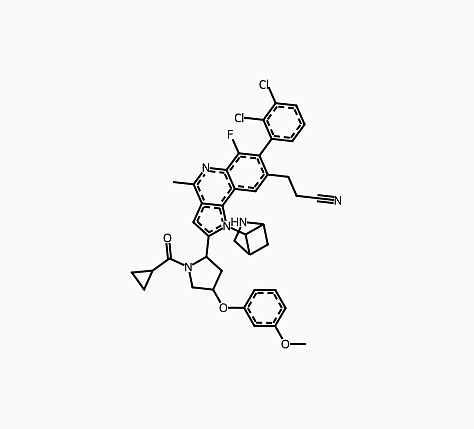 COc1cccc(OC2CC(c3cc4c(C)nc5c(F)c(-c6cccc(Cl)c6Cl)c(CCC#N)cc5c4n3C3C4CNC3C4)N(C(=O)C3CC3)C2)c1